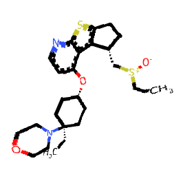 CC[S@+]([O-])C[C@H]1CCc2sc3nccc(O[C@H]4CC[C@](CC)(N5CCOCC5)CC4)c3c21